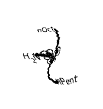 CCCCC/C=C\C/C=C\CCCCCCCC(=O)O[C@H](COC(=O)CCCCCCC/C=C\CCCCCCCC)COP(=O)(O)OCCN